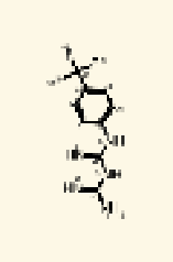 N=C(N)NC(=N)Nc1ccc(C(F)(F)F)cc1